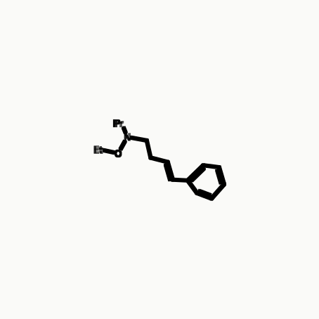 CCON(CCC=Cc1ccccc1)C(C)C